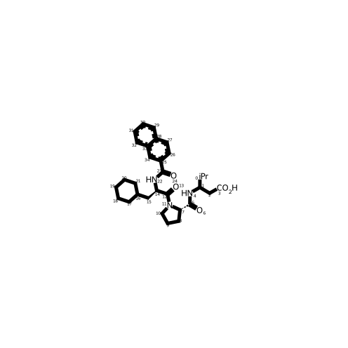 CC(C)C(CC(=O)O)NC(=O)[C@@H]1CCCN1C(=O)[C@@H](CC1CCCCC1)NC(=O)c1ccc2ccccc2c1